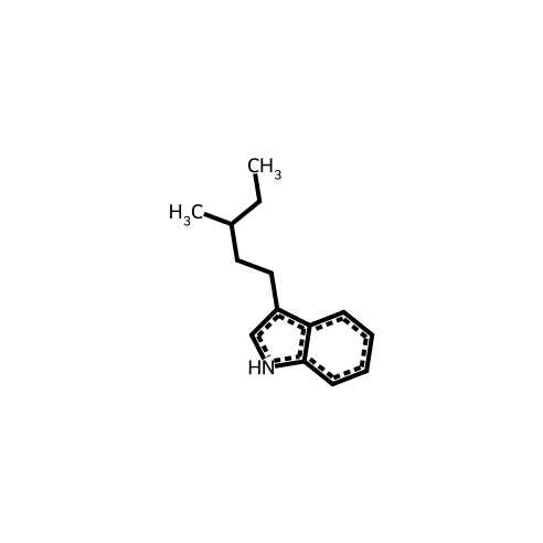 CCC(C)CCc1c[nH]c2ccccc12